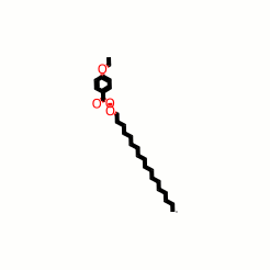 [CH2]CCCCCCCCCCCCCCCCCOOC(=O)c1ccc(OCC)cc1